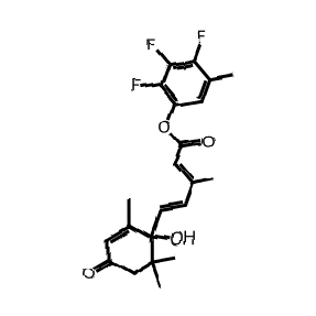 CC(C=CC1(O)C(C)=CC(=O)CC1(C)C)=CC(=O)Oc1cc(C)c(F)c(F)c1F